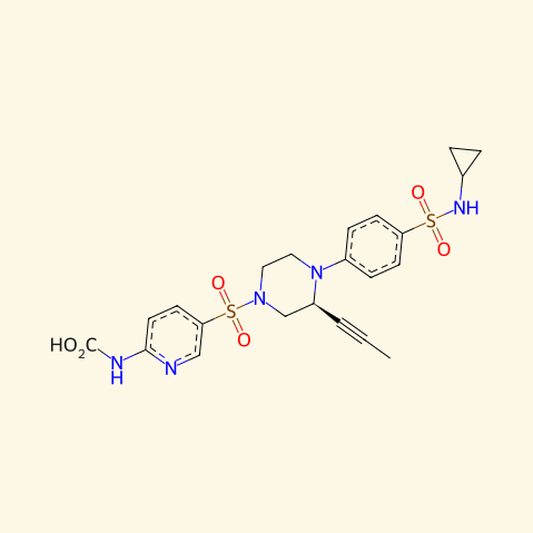 CC#C[C@H]1CN(S(=O)(=O)c2ccc(NC(=O)O)nc2)CCN1c1ccc(S(=O)(=O)NC2CC2)cc1